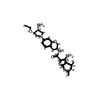 CCO[C@H]1CN(c2ccc3c(c2)OC[C@H](NC(=O)c2sc4nc(C)cc(C)c4c2N)C3)C[C@@H]1N